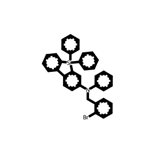 Brc1ccccc1CN(c1ccccc1)c1ccc2c(c1)[Si](c1ccccc1)(c1ccccc1)c1ccccc1-2